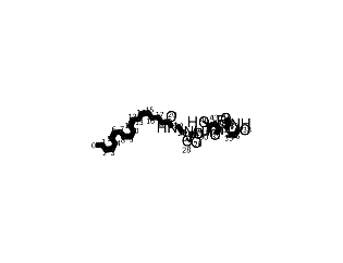 CC/C=C\C/C=C\C/C=C\C/C=C\C/C=C\CCCC(=O)NCCNP(=O)(OC)OC[C@H]1OC(n2ccc(=O)[nH]c2=O)[C@](C)(F)[C@@H]1O